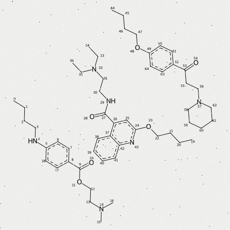 CCCCNc1ccc(C(=O)OCCN(C)C)cc1.CCCCOc1cc(C(=O)NCCN(CC)CC)c2ccccc2n1.CCCCOc1ccc(C(=O)CCN2CCCCC2)cc1